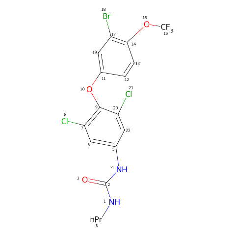 CCCNC(=O)Nc1cc(Cl)c(Oc2ccc(OC(F)(F)F)c(Br)c2)c(Cl)c1